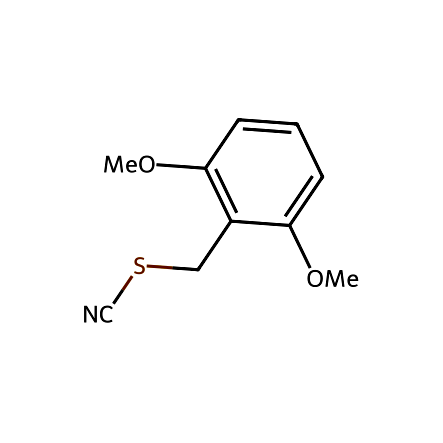 COc1cccc(OC)c1CSC#N